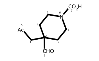 CC(=O)CC1(C=O)CCN(C(=O)O)CC1